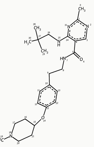 Cc1ncc(C(=O)NCCc2ccc(OC3CCN([11CH3])CC3)cc2)c(NCC(C)(C)C)n1